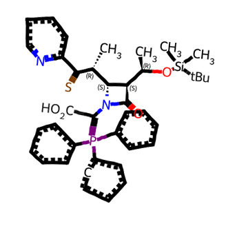 C[C@@H](O[Si](C)(C)C(C)(C)C)[C@H]1C(=O)N(C(C(=O)O)=P(c2ccccc2)(c2ccccc2)c2ccccc2)[C@@H]1[C@@H](C)C(=S)c1ccccn1